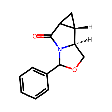 O=C1C2C[C@@H]2[C@H]2COC(c3ccccc3)N12